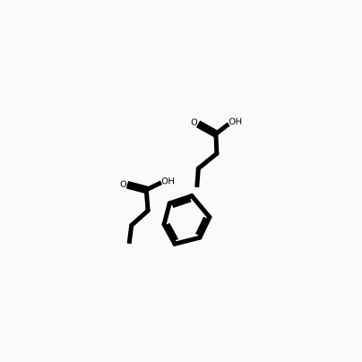 CCCC(=O)O.CCCC(=O)O.c1ccccc1